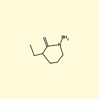 BN1CCCC(CC)C1=C